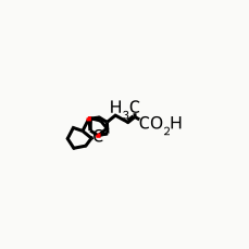 CC(=CCC1CC2C3CCCCC3CC1C1CCCC12)C(=O)O